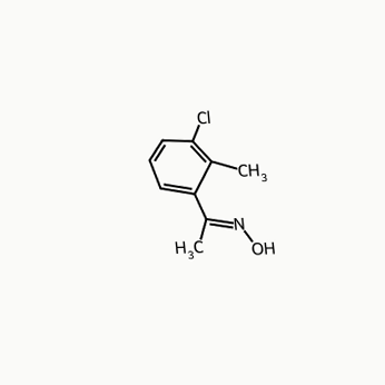 CC(=NO)c1cccc(Cl)c1C